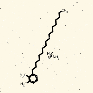 CBr.CCCCCCCCCCCCCCCCCCc1cccc(C)c1C.N